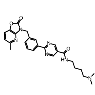 Cc1ccc2oc(=O)n(Cc3cccc(-c4ncc(C(=O)NCCCCN(C)C)cn4)c3)c2n1